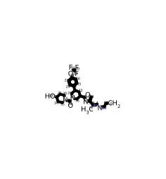 C=C/C=N\C=C(/C)c1coc(C2CC(c3ccc(OC(F)(F)F)cc3)CN(C(=O)N3CCC(O)CC3)C2)n1